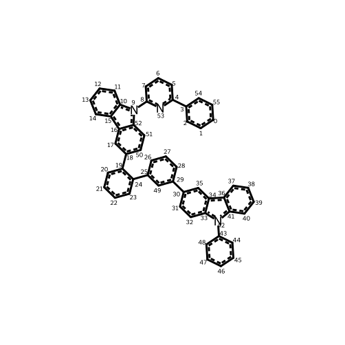 c1ccc(-c2cccc(-n3c4ccccc4c4cc(-c5ccccc5-c5cccc(-c6ccc7c(c6)c6ccccc6n7-c6ccccc6)c5)ccc43)n2)cc1